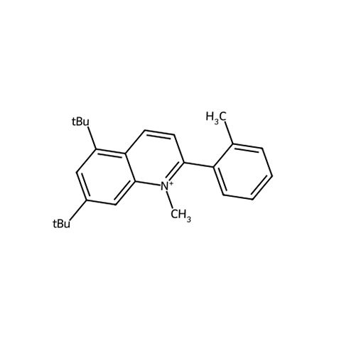 Cc1ccccc1-c1ccc2c(C(C)(C)C)cc(C(C)(C)C)cc2[n+]1C